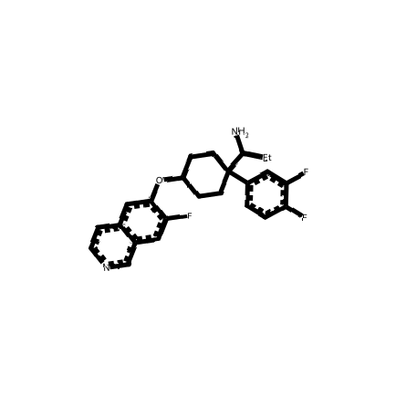 CCC(N)C1(c2ccc(F)c(F)c2)CCC(Oc2cc3ccncc3cc2F)CC1